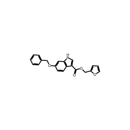 O=C(OCc1ccco1)c1c[nH]c2cc(OCc3ccccc3)ccc12